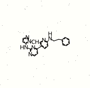 Cn1nccc1Nc1nccc(-c2ccc(NCCc3ccccc3)nc2)n1